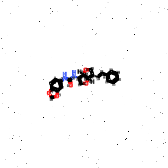 O=C(Nc1ccc2c(c1)OCO2)N[C@H]1CO[C@@H]2[C@@H](CCc3ccccc3)CO[C@@H]21